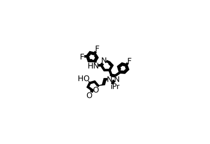 CC(C)c1nc(-c2ccc(F)cc2)c(C2C=CN=C(Nc3cc(F)cc(F)c3)C2)n1/C=C/[C@@H]1C[C@@H](O)CC(=O)O1